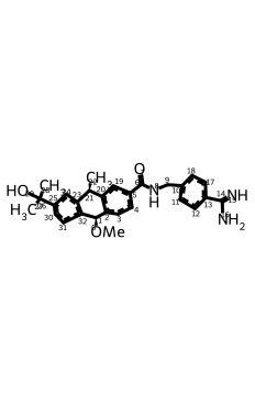 CO[C@@H]1c2ccc(C(=O)NCc3ccc(C(=N)N)cc3)cc2[C@H](C)c2cc(C(C)(C)O)ccc21